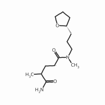 CC(C[CH]C(=O)N(C)CCC[C@H]1CCCO1)C(N)=O